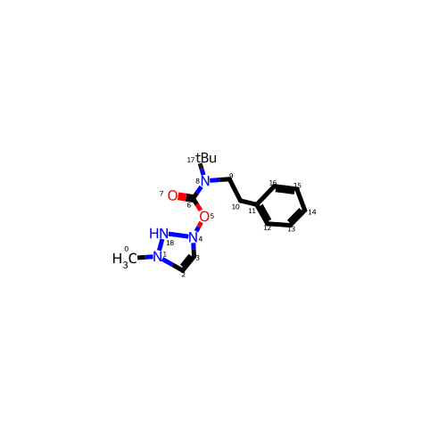 CN1C=CN(OC(=O)N(CCc2ccccc2)C(C)(C)C)N1